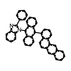 c1ccc(-c2nc3ccccc3n2-c2c3ccccc3c(-c3cccc4c3ccc3cc5ccccc5cc34)c3ccccc23)cc1